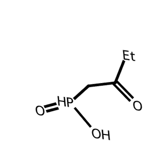 CCC(=O)C[PH](=O)O